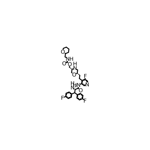 N[C@H](C(=O)Nc1cncc(F)c1CC[C@@H]1CN[C@H](COC(=O)NCC2CCCCO2)CO1)C(c1ccc(F)cc1)c1ccc(F)cc1